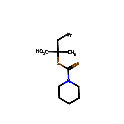 CC(C)CC(C)(SC(=S)N1CCCCC1)C(=O)O